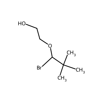 CC(C)(C)C(Br)OCCO